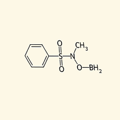 BON(C)S(=O)(=O)c1ccccc1